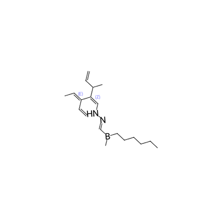 C=CC(=C\C)/C(=C\NN=CB(C)CCCCCC)C(C)C=C